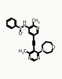 Cc1ncc(C#Cc2c(C)ncnc2N2CCCOCC2)cc1N[S+]([O-])c1ccccc1